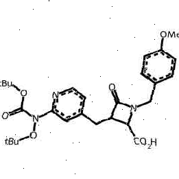 COc1ccc(CN2C(=O)C(Cc3ccnc(N(OC(C)(C)C)C(=O)OC(C)(C)C)c3)C2C(=O)O)cc1